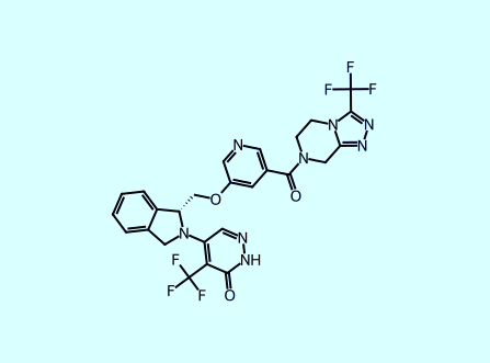 O=C(c1cncc(OC[C@H]2c3ccccc3CN2c2cn[nH]c(=O)c2C(F)(F)F)c1)N1CCn2c(nnc2C(F)(F)F)C1